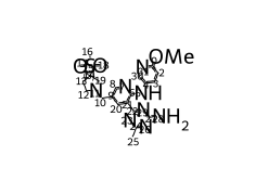 COc1ccc(Nc2ncc(CN3CC[C@H](S(C)(=O)=O)C3)cc2-c2nc(C)nc(N)n2)cn1